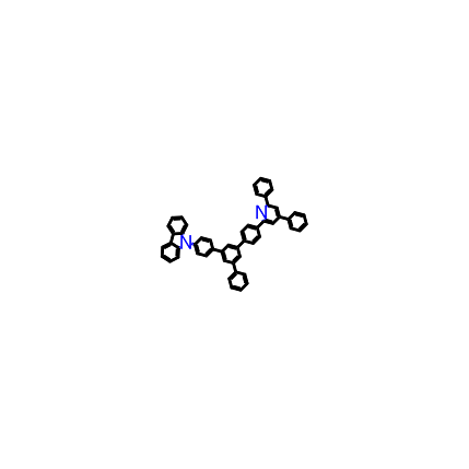 c1ccc(-c2cc(-c3ccc(-c4cc(-c5ccccc5)cc(-c5ccccc5)n4)cc3)cc(-c3ccc(-n4c5ccccc5c5ccccc54)cc3)c2)cc1